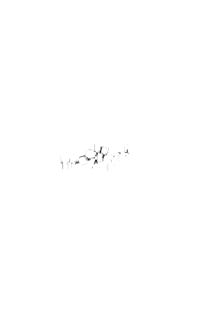 CC(=O)OCC(=O)[C@H]1CC[C@H]2[C@@H]3CCC4=CC(O)(O)CC[C@]4(C)[C@H]3[C@@H](O)C[C@]12C